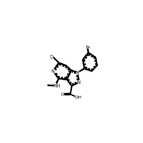 CNc1nc(Cl)cc2c1c(C(=O)O)nn2-c1cccc(Br)c1